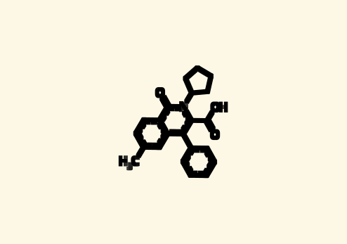 Cc1ccc2c(=O)n(C3CCCC3)c(C(=O)O)c(-c3ccccc3)c2c1